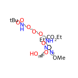 CCOC(=O)C(CC)(CCOCCOCCOCCNC(=O)OC(C)(C)C)NC(=O)c1ccc(N2CC(OC)C2)c(OC[C@H]2C[C@@H]2CO)n1